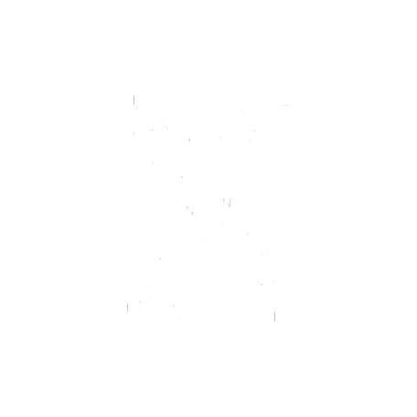 COC(=O)c1ccc(-c2nc(-c3ccc(C(=O)OC)cc3)c(-c3ccc(C(=O)OC)cc3)nc2-c2ccc(C(=O)OC)cc2)cc1